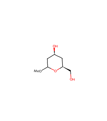 COC1C[C@@H](O)C[C@@H](CO)O1